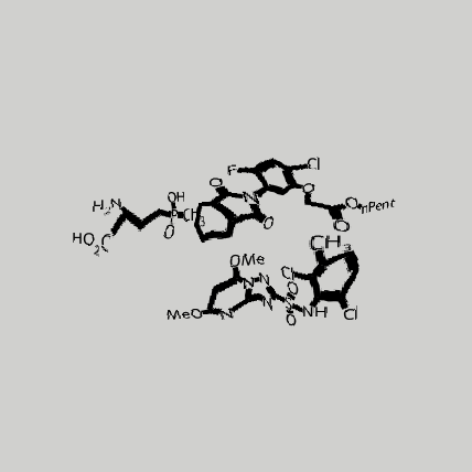 CCCCCOC(=O)COc1cc(N2C(=O)C3=C(CCCC3)C2=O)c(F)cc1Cl.COc1cc(OC)n2nc(S(=O)(=O)Nc3c(Cl)ccc(C)c3Cl)nc2n1.CP(=O)(O)CCC(N)C(=O)O